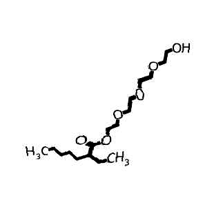 CCCCCC(CC)C(=O)OCCOCCOCCOCCO